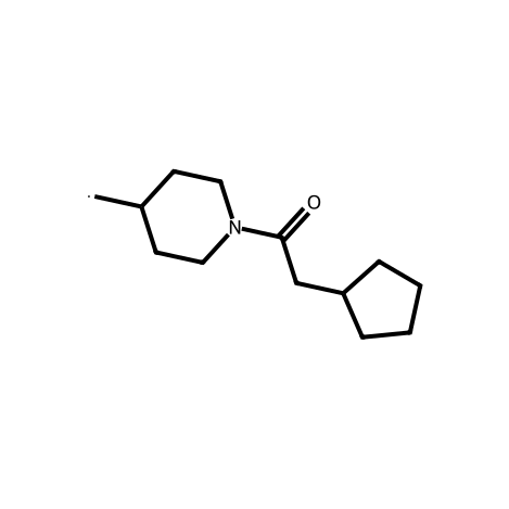 [CH2]C1CCN(C(=O)CC2CCCC2)CC1